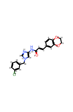 O=C(/C=C/c1ccc2c(c1)OCCO2)Nc1cn(Cc2cccc(Cl)c2)cn1